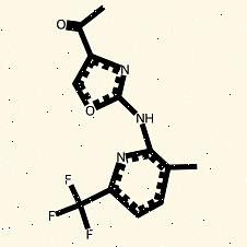 CC(=O)c1coc(Nc2nc(C(F)(F)F)ccc2C)n1